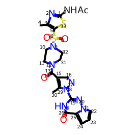 CC(=O)Nc1nc(C)c(S(=O)(=O)N2CCN(C(=O)c3cnn(-c4nn5cccc5c(=O)[nH]4)c3C)CC2)s1